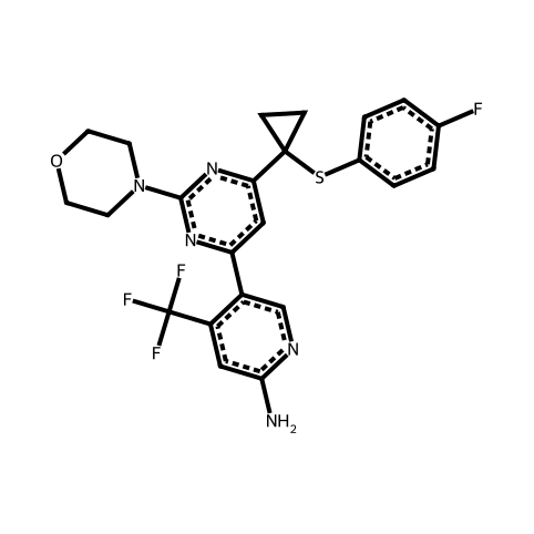 Nc1cc(C(F)(F)F)c(-c2cc(C3(Sc4ccc(F)cc4)CC3)nc(N3CCOCC3)n2)cn1